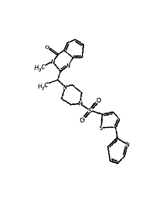 CC(c1nc2ccccc2c(=O)n1C)N1CCN(S(=O)(=O)c2ccc(-c3ccccn3)s2)CC1